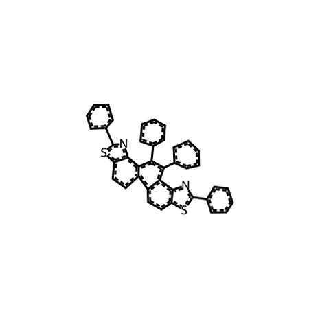 c1ccc(-c2nc3c(ccc4c5ccc6sc(-c7ccccc7)nc6c5c(-c5ccccc5)c(-c5ccccc5)c43)s2)cc1